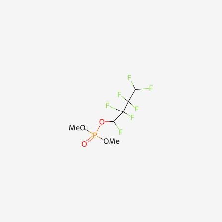 COP(=O)(OC)OC(F)C(F)(F)C(F)(F)C(F)F